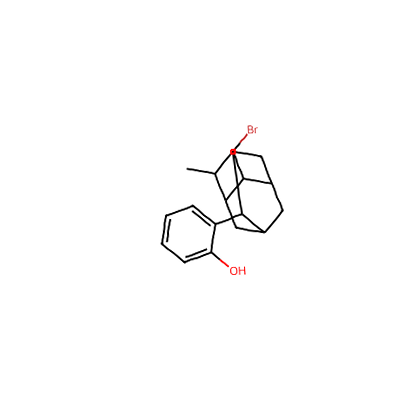 CC1C2CC3CC(CC1C3c1ccccc1O)C2CBr